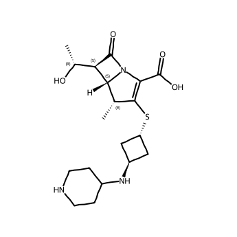 C[C@@H](O)[C@H]1C(=O)N2C(C(=O)O)=C(S[C@H]3C[C@H](NC4CCNCC4)C3)[C@H](C)[C@H]12